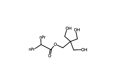 CCCC(CCC)C(=O)OCC(CO)(CO)CO